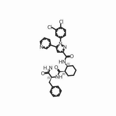 NC(=O)[C@H](Cc1ccccc1)NC(=O)[C@@H]1CCCC[C@@H]1NC(=O)c1cc(-c2cccnc2)n(-c2ccc(Cl)c(Cl)c2)n1